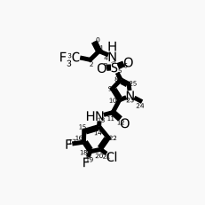 C=C(CC(F)(F)F)NS(=O)(=O)c1cc(C(=O)Nc2cc(F)c(F)c(Cl)c2)n(C)c1